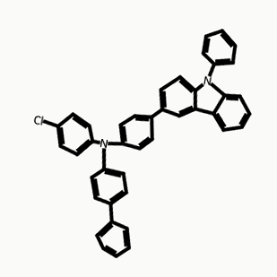 Clc1ccc(N(c2ccc(-c3ccccc3)cc2)c2ccc(-c3ccc4c(c3)c3ccccc3n4-c3ccccc3)cc2)cc1